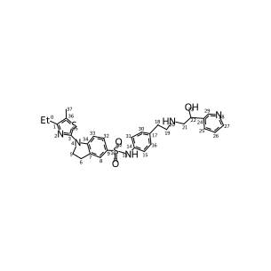 CCc1nc(N2CCc3cc(S(=O)(=O)Nc4ccc(CCNCC(O)c5cccnc5)cc4)ccc32)sc1C